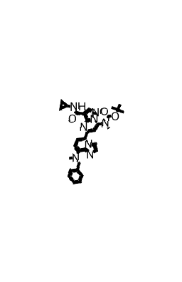 CN(Cc1ccccc1)c1ccc(-c2cc(N(C)C(=O)OC(C)(C)C)n3ncc(C(=O)NC4CC4)c3n2)n2ccnc12